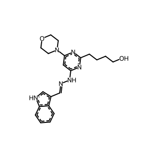 OCCCCc1nc(N/N=C/c2c[nH]c3ccccc23)cc(N2CCOCC2)n1